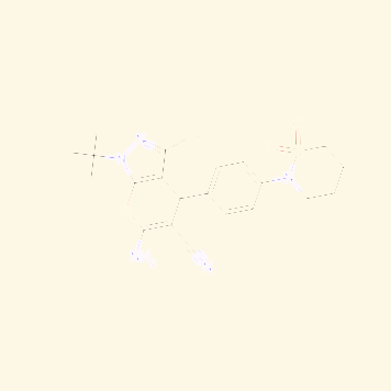 Cc1nn(C(C)(C)C)c2c1C(c1ccc(N3CCCCS3(=O)=O)cc1)C(C#N)=C(N)O2